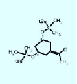 CC(Cl)=C1C[C@@H](O[Si](C)(C)C(C)(C)C)C[C@H](O[Si](C)(C)C(C)(C)C)C1